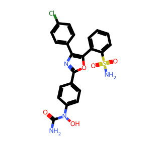 NC(=O)N(O)c1ccc(-c2nc(-c3ccc(Cl)cc3)c(-c3ccccc3S(N)(=O)=O)o2)cc1